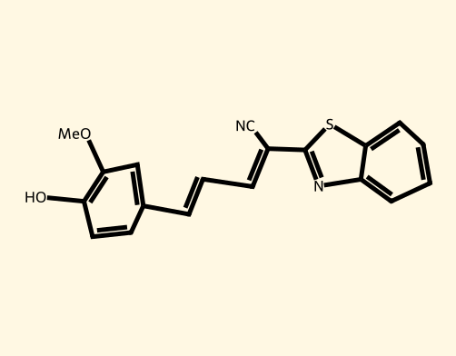 COc1cc(C=CC=C(C#N)c2nc3ccccc3s2)ccc1O